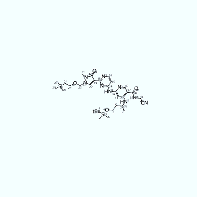 C[C@@H](CCO[Si](C)(C)C(C)(C)C)Nc1cc(Nc2ccnc(-c3cn(COCC[Si](C)(C)C)n(C)c3=O)n2)ncc1C(=O)NCC#N